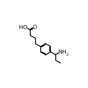 CCC(N)c1ccc(CCCC(=O)O)cc1